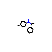 C=C(Nc1ccc(C)cc1)c1ccccc1